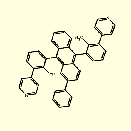 Cc1c(-c2ccncc2)cccc1-c1c2ccccc2c(-c2cccc(-c3ccncc3)c2C)c2cc(-c3ccccc3)ccc12